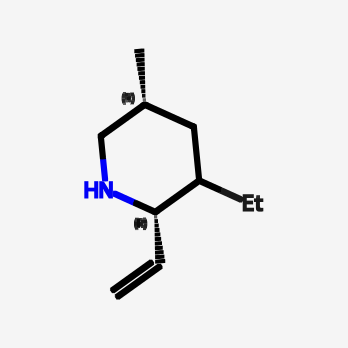 C=C[C@@H]1NC[C@H](C)CC1CC